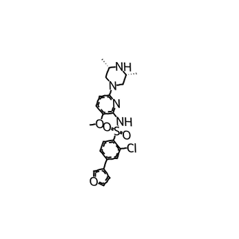 COc1ccc(N2C[C@@H](C)N[C@@H](C)C2)nc1NS(=O)(=O)c1ccc(-c2ccoc2)cc1Cl